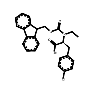 CCN(C(=O)OCC1c2ccccc2-c2ccccc21)[C@@H](Cc1ccc(Cl)cc1)C(=O)O